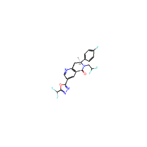 C[C@@]1(c2ccc(F)cc2)Cc2ncc(-c3nnc(C(F)F)o3)cc2C(=O)N1CC(F)F